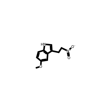 COc1ccc2[nH]cc(CC[N+](=O)[O-])c2c1